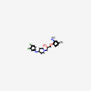 CCNc1cc(C#N)ccc1OCC(O)CN1CCC(Nc2ccc(F)c(F)c2)CC1